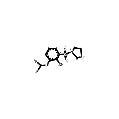 N#Cc1c(OC(F)F)cccc1S(=O)(=O)N1CCSC1